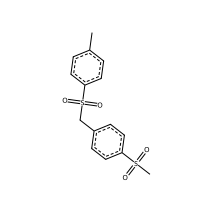 Cc1ccc(S(=O)(=O)Cc2ccc(S(C)(=O)=O)cc2)cc1